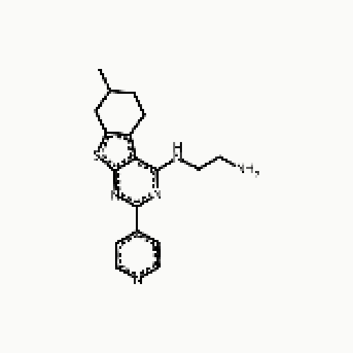 CC1CCc2c(sc3nc(-c4ccncc4)nc(NCCN)c23)C1